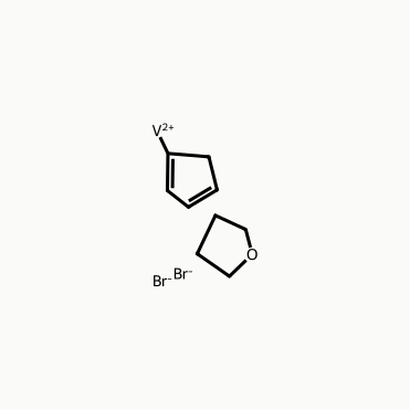 C1CCOC1.[Br-].[Br-].[V+2][C]1=CC=CC1